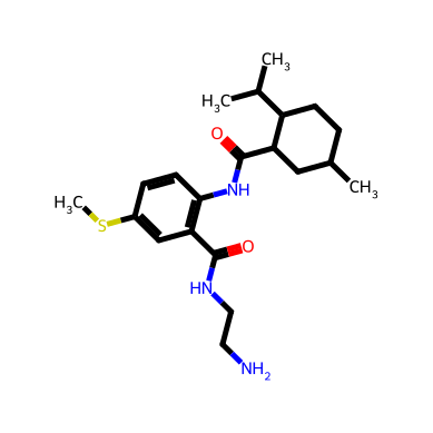 CSc1ccc(NC(=O)C2CC(C)CCC2C(C)C)c(C(=O)NCCN)c1